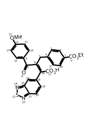 CCOC(=O)c1ccc(CC(C(=O)c2ccc(OC)cc2)=C(C(=O)O)c2ccc3nsnc3c2)cc1